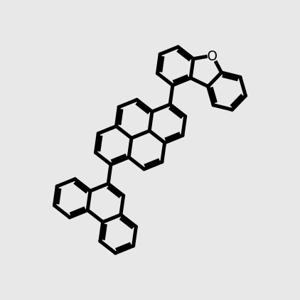 C1=CC2=C(c3cc4ccccc4c4ccccc34)C=CC3=CC=C4C(c5cccc6oc7ccccc7c56)=CC=C1C4C32